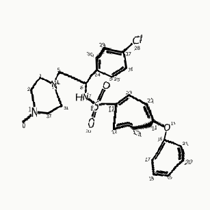 CN1CCN(CC(NS(=O)(=O)c2ccc(Oc3ccccc3)cc2)c2ccc(Cl)cc2)CC1